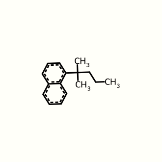 CCCC(C)(C)c1cccc2ccccc12